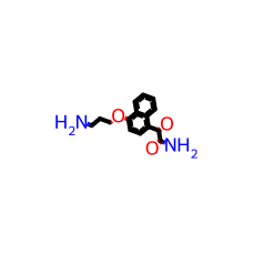 NCCCOc1ccc(C(=O)C(N)=O)c2ccccc12